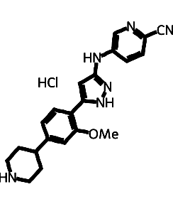 COc1cc(C2CCNCC2)ccc1-c1cc(Nc2ccc(C#N)nc2)n[nH]1.Cl